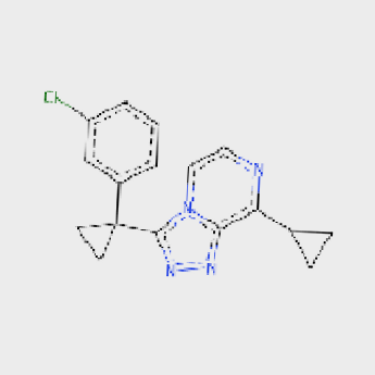 Clc1cccc(C2(c3nnc4c(C5CC5)nccn34)CC2)c1